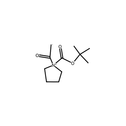 [CH2]C(=O)[N+]1(C(=O)OC(C)(C)C)CCCC1